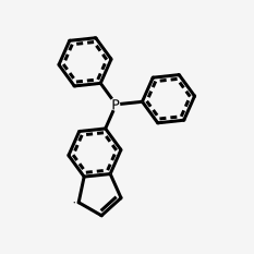 [CH]1C=Cc2cc(P(c3ccccc3)c3ccccc3)ccc21